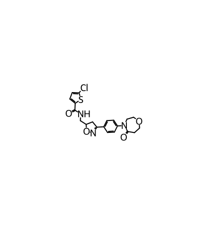 O=C(NCC1CC(c2ccc(N3CCOCCC3=O)cc2)=NO1)c1ccc(Cl)s1